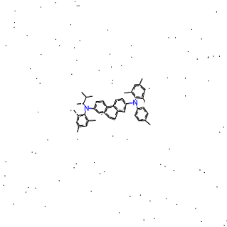 Cc1ccc(N(c2ccc3c(ccc4cc(N(c5c(C)cc(C)cc5C)C(C)C(C)C)ccc43)c2)c2c(C)cc(C)cc2C)cc1